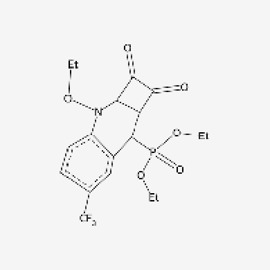 CCON1c2ccc(C(F)(F)F)cc2C(P(=O)(OCC)OCC)C2C(=O)C(=O)C21